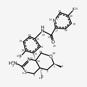 C[C@H]1C[C@@]2(F)CSC(N)=N[C@@]2(c2cc(NC(=O)c3ccc(F)cn3)ccc2F)CO1